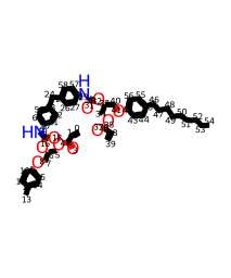 C=CC(=O)OCC(COc1ccc(C)cc1)OC(=O)Nc1ccc(Cc2ccc(NC(=O)OC(COC(=O)C=C)COc3ccc(CCCCCCCCC)cc3)cc2)cc1